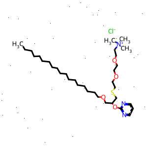 CCCCCCCCCCCCCCCCCCOCC(CSCCOCCOCC[N+](C)(C)C)Oc1ncccn1.[Cl-]